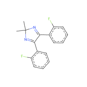 CC1(C)N=C(c2ccccc2F)C(c2ccccc2F)=N1